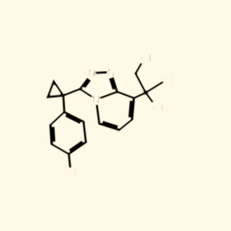 CC(O)(CO)c1cccn2c(C3(c4ccc(Cl)cc4)CC3)nnc12